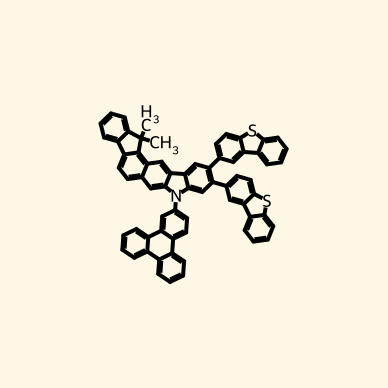 CC1(C)c2ccccc2-c2ccc3cc4c(cc3c21)c1cc(-c2ccc3sc5ccccc5c3c2)c(-c2ccc3sc5ccccc5c3c2)cc1n4-c1ccc2c3ccccc3c3ccccc3c2c1